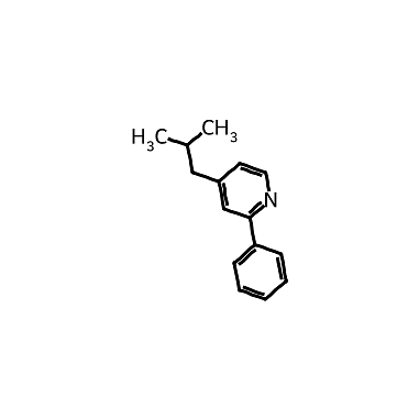 CC(C)Cc1ccnc(-c2ccccc2)c1